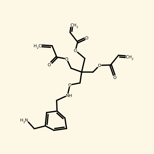 C=CC(=O)OCC(CONCc1cccc(CN)c1)(COC(=O)C=C)COC(=O)C=C